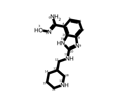 NC(=NO)c1cccc2nc(NCC3CCCNC3)[nH]c12